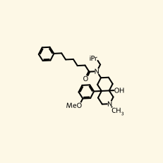 COc1cccc(C23CCN(C)CC2(O)CCC(N(CC(C)C)C(=O)CCCCCc2ccccc2)C3)c1